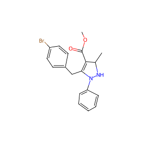 COC(=O)C1=C(Cc2ccc(Br)cc2)N(c2ccccc2)NC1C